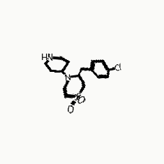 O=S1(=O)CCN(C2CCNCC2)[C@@H](Cc2ccc(Cl)cc2)C1